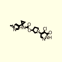 Cn1cc(C2(NC(=O)OC3CCN(c4cn[nH]c(=O)c4Cl)C3)CC2)cn1